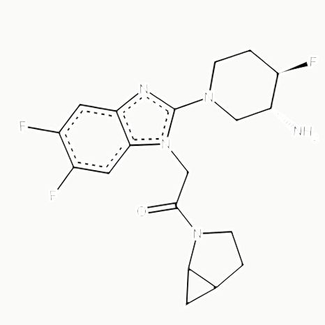 N[C@@H]1CN(c2nc3cc(F)c(F)cc3n2CC(=O)N2CCC3CC32)CC[C@H]1F